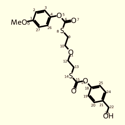 COc1ccc(OC(=O)SCCOCCSC(=O)Oc2ccc(CO)cc2)cc1